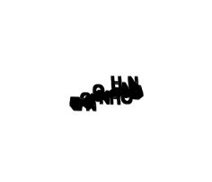 Nc1ccccc1NC(=O)CCCCCNC(=O)CCc1ncc(-c2ccccc2)o1